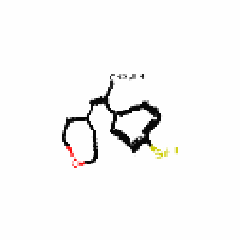 O=C(O)C(CC1CCOCC1)c1ccc(S)cc1